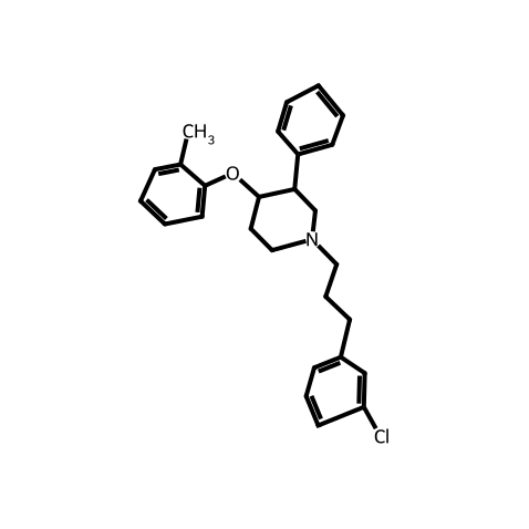 Cc1ccccc1OC1CCN(CCCc2cccc(Cl)c2)CC1c1ccccc1